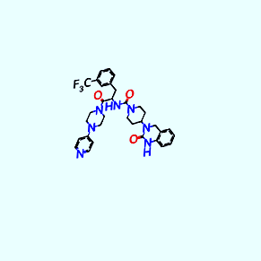 O=C(NC(Cc1cccc(C(F)(F)F)c1)C(=O)N1CCN(c2ccncc2)CC1)N1CCC(N2Cc3ccccc3NC2=O)CC1